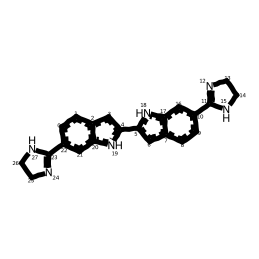 c1cc2cc(-c3cc4ccc(C5=NCCN5)cc4[nH]3)[nH]c2cc1C1=NCCN1